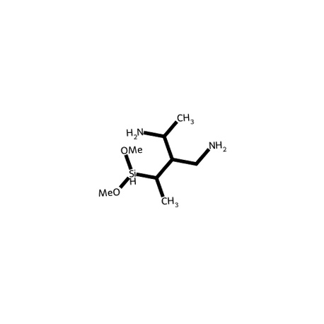 CO[SiH](OC)C(C)C(CN)C(C)N